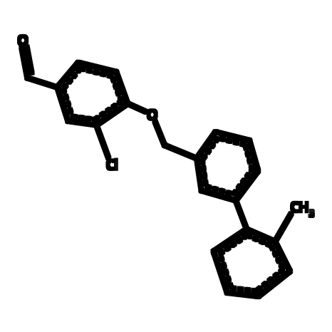 Cc1ccccc1-c1cccc(COc2ccc(C=O)cc2Cl)c1